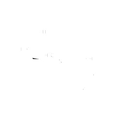 CCC1C=C[C@]1(CC)c1ccccc1C1C=C(C(C)C)C(C)=CN1C